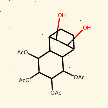 CC(=O)OC1C(OC(C)=O)C(OC(C)=O)C2C3CCC(C(O)C3O)C2C1OC(C)=O